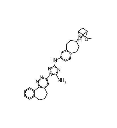 CO[C@H]1C2CC1N([C@H]1CCc3ccc(Nc4nc(N)n(-c5cc6c(nn5)-c5ccccc5CCC6)n4)cc3CC1)C2